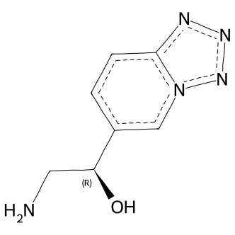 NC[C@H](O)c1ccc2nnnn2c1